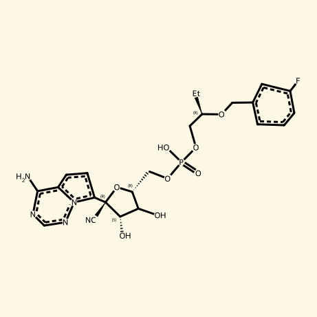 CC[C@H](COP(=O)(O)OC[C@H]1O[C@@](C#N)(c2ccc3c(N)ncnn23)[C@@H](O)C1O)OCc1cccc(F)c1